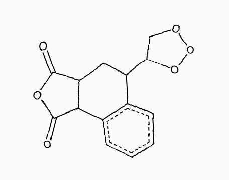 O=C1OC(=O)C2c3ccccc3C(C3COOO3)CC12